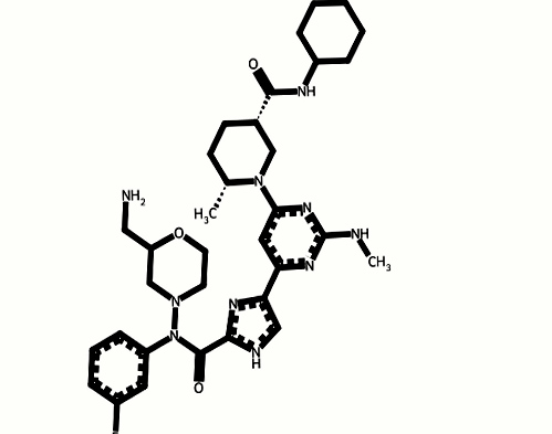 CNc1nc(-c2c[nH]c(C(=O)N(c3cccc(F)c3)N3CCOC(CN)C3)n2)cc(N2C[C@@H](C(=O)NC3CCCCC3)CC[C@H]2C)n1